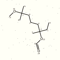 CCC(C)(CCCC(C)(C)OC)OC=O